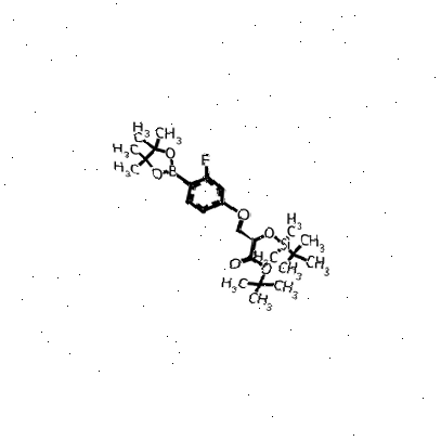 CC(C)(C)OC(=O)[C@@H](COc1ccc(B2OC(C)(C)C(C)(C)O2)c(F)c1)O[Si](C)(C)C(C)(C)C